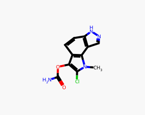 Cn1c(Cl)c(OC(N)=O)c2ccc3[nH]ncc3c21